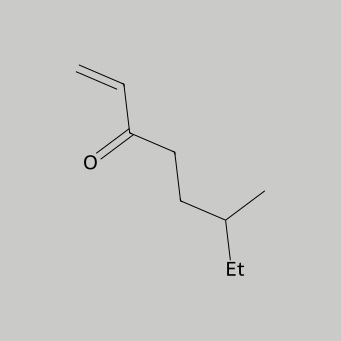 C=CC(=O)CCC(C)CC